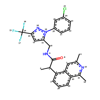 Cc1cc2c(C(C)C(=O)NCc3cc(C(F)(F)F)nn3-c3cccc(Cl)c3)cccc2c(C)n1